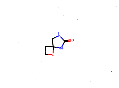 O=C1NCC2(CCO2)N1